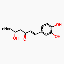 CCCCCCCCCC(O)CC(=O)/C=C/c1ccc(O)c(O)c1